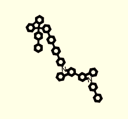 c1ccc(-c2ccc(-n3c4ccccc4c4cc(-c5ccc6c(c5)c5ccccc5n6-c5ccc(-c6ccc(-c7ccc(-c8cccc(C9(c%10ccc(-c%11ccccc%11)cc%10)c%10ccccc%10-c%10ccccc%109)c8)cc7)cc6)cc5)ccc43)cc2)cc1